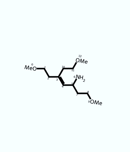 COCCC(=CC(N)CCOC)CCOC